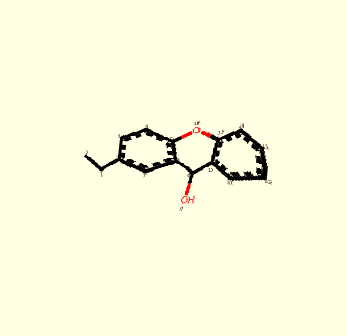 CCc1ccc2c(c1)C(O)c1ccccc1O2